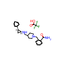 NC(=O)c1ccccc1CN1CCC(CN[C@@H]2C[C@H]2c2ccccc2)CC1.O=C(O)C(F)(F)F